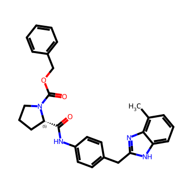 Cc1cccc2[nH]c(Cc3ccc(NC(=O)[C@@H]4CCCN4C(=O)OCc4ccccc4)cc3)nc12